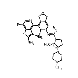 C[C@@H]1[C@@H](N2CCN(C)CC2)CCN1c1ncc2c3c(c(-c4ncc(F)c5sc(N)c(C#N)c45)c(F)c2n1)COC3